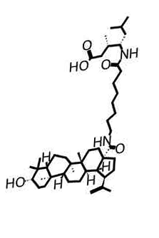 C=C(C)[C@@H]1CC[C@]2(C(=O)NCCCCCCCC(=O)N[C@@H](CC(C)C)[C@@H](C)CC(=O)O)CC[C@]3(C)[C@H](CC[C@@H]4[C@@]5(C)CC[C@H](O)C(C)(C)[C@@H]5CC[C@]43C)[C@@H]12